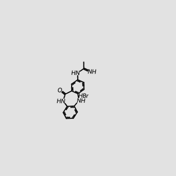 Br.CC(=N)Nc1ccc2c(c1)C(=O)Nc1ccccc1N2